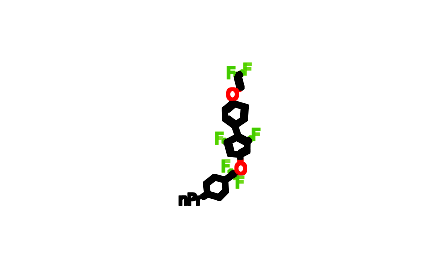 CCCC1CCC(C(F)(F)Oc2cc(F)c(-c3ccc(OC=C(F)F)cc3)c(F)c2)CC1